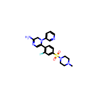 CN1CCN(S(=O)(=O)c2ccc(C3=CN=C(N)CN3c3cccnc3)c(F)c2)CC1